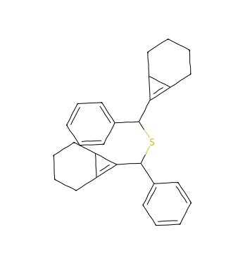 c1ccc(C(SC(C2=C3CCCCC32)c2ccccc2)C2=C3CCCCC32)cc1